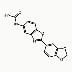 CC(C)C(=O)Nc1ccc2oc(-c3ccc4c(c3)OCO4)nc2c1